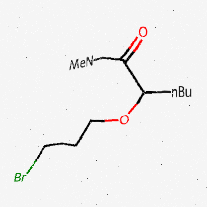 CCCCC(OCCCBr)C(=O)NC